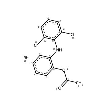 CC(=O)Oc1ccccc1Nc1c(Cl)cccc1Cl.[Rb]